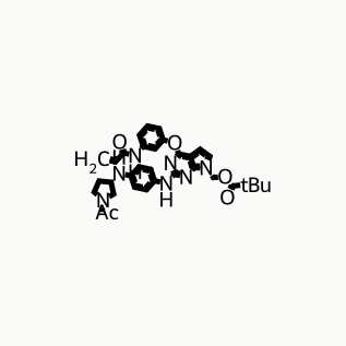 C=CC(=O)Nc1cccc(Oc2nc(Nc3ccc(N[C@H]4CCN(C(C)=O)C4)cc3)nc3c2ccn3COC(=O)C(C)(C)C)c1